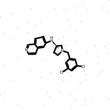 Clc1cc(Cl)cc(CN2CC[C@@H](Nc3ccc4cnccc4c3)C2)c1